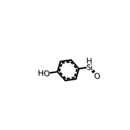 O=[SiH]c1ccc(O)cc1